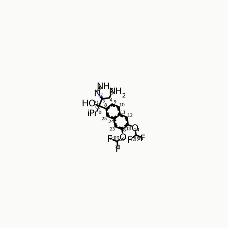 CC(C)[C@@](O)(/C(CN)=N/N)c1ccc2cc(OC(F)F)c(OC(F)F)cc2c1